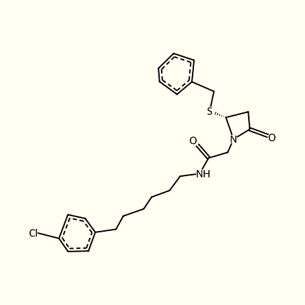 O=C(CN1C(=O)C[C@H]1SCc1ccccc1)NCCCCCCc1ccc(Cl)cc1